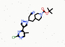 Cc1cnc(Cl)nc1-c1cnn(C(CC#N)CC2CCN(C(=O)OC(C)(C)C)CC2)c1